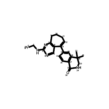 CC(C)CNc1ncc2c(n1)CCCC=C2c1ccc2c(c1)C(C)(C)CNC2=O